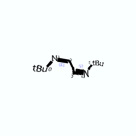 CC(C)(C)/N=C\C=N/C(C)(C)C